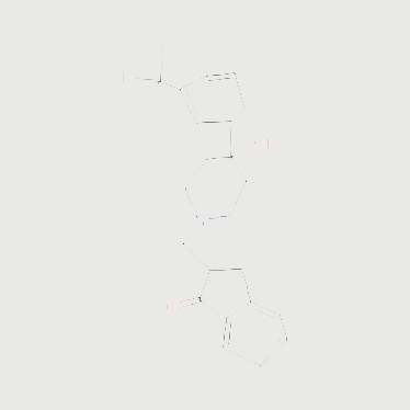 O=C1c2ccccc2CC1CN1CCC(O)(c2cccc(C(F)(F)F)c2)CC1